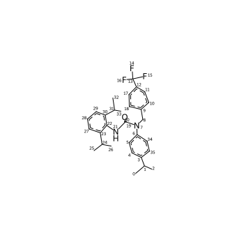 CC(C)c1ccc(N(Cc2ccc(C(F)(F)F)cc2)C(=O)Nc2c(C(C)C)cccc2C(C)C)cc1